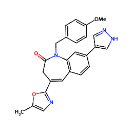 COc1ccc(CN2C(=O)CC(c3ncc(C)o3)=Cc3ccc(-c4cn[nH]c4)cc32)cc1